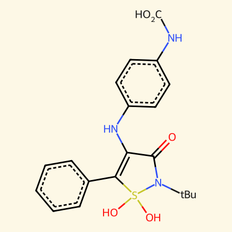 CC(C)(C)N1C(=O)C(Nc2ccc(NC(=O)O)cc2)=C(c2ccccc2)S1(O)O